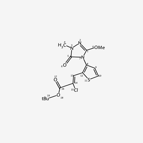 COc1nn(C)c(=O)n1-c1ccsc1/C=C(\Cl)C(=O)OC(C)(C)C